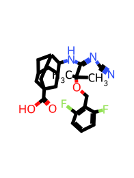 CC(C)(OCc1c(F)cccc1F)/C(=N\C#N)NC1C2CC3CC1CC(C(=O)O)(C3)C2